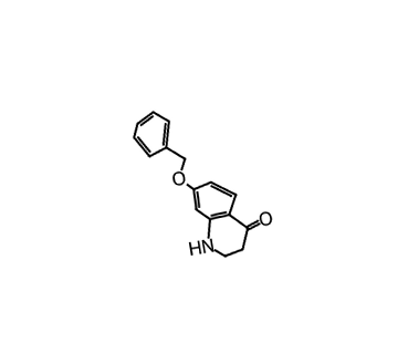 O=C1CCNc2cc(OCc3ccccc3)ccc21